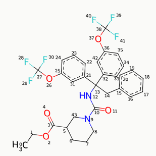 CCOC(=O)C1CCCN(C(=O)NC(Cc2ccccc2)(c2cccc(OC(F)(F)F)c2)c2cccc(OC(F)(F)F)c2)C1